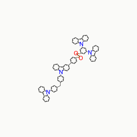 O=S(=O)(c1ccc(-c2ccc3c(c2)c2ccccc2n3-c2ccc(Cc3ccc(-n4c5ccccc5c5ccccc54)cc3)cc2)cc1)c1cc(-n2c3ccccc3c3ccccc32)cc(-n2c3ccccc3c3ccccc32)c1